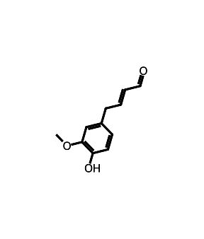 COc1cc(CC=CC=O)ccc1O